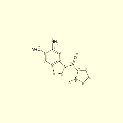 COc1cc2c(cc1N)N(C(=O)C1CCCN1C)CC2